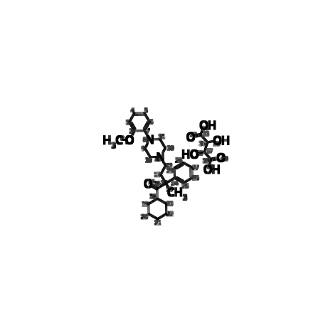 COc1ccccc1N1CCN(CCC(C)(C(=O)C2CCCCC2)c2ccccc2)CC1.O=C(O)C(O)C(O)C(=O)O